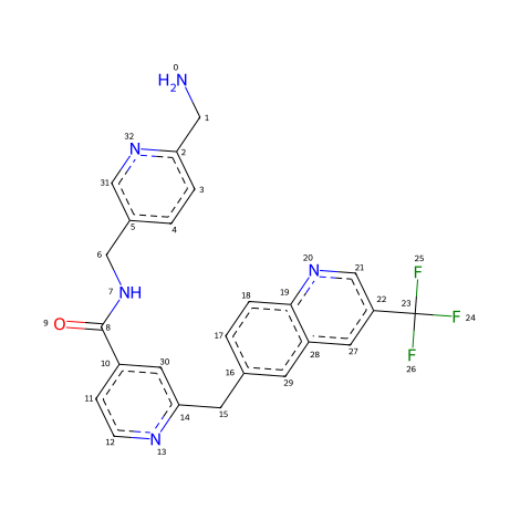 NCc1ccc(CNC(=O)c2ccnc(Cc3ccc4ncc(C(F)(F)F)cc4c3)c2)cn1